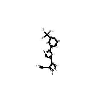 N#Cc1[nH]nnc1-c1coc(-c2cccc(C(F)(F)F)c2)n1